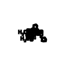 COC(=O)C(C[C@H](O[Si](C)(C)C(C)(C)C)C(=O)OC)CP(=O)(OCc1ccccc1)OCc1ccccc1